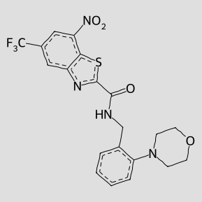 O=C(NCc1ccccc1N1CCOCC1)c1nc2cc(C(F)(F)F)cc([N+](=O)[O-])c2s1